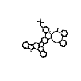 C=C1CC2C(CCc3ccccc3-c3cccc[n+]31)c1cc3c(cc1-c1cc(CC(C)(C)C)cc[n+]12)c1cc2c4ccccc4oc2c2c4ccccc4n3c12